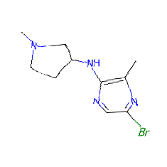 Cc1nc(Br)cnc1NC1CCN(C)C1